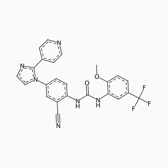 COc1ccc(C(F)(F)F)cc1NC(=O)Nc1ccc(-n2ccnc2-c2ccncc2)cc1C#N